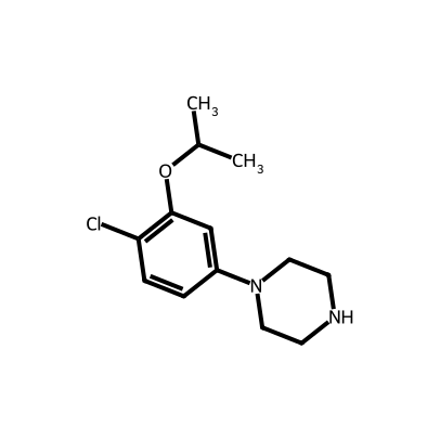 CC(C)Oc1cc(N2CCNCC2)ccc1Cl